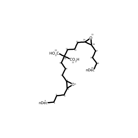 CCCCCCCCCCCCCC1OC1CCCC(CCCC1OC1CCCCCCCCCCCCC)(C(=O)O)C(=O)O